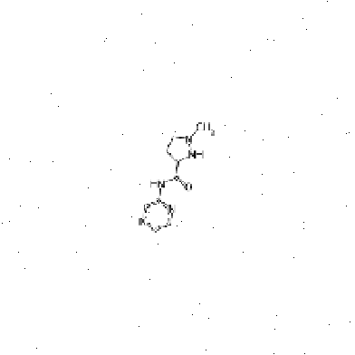 CN1CCC(C(=O)Nc2cnccn2)N1